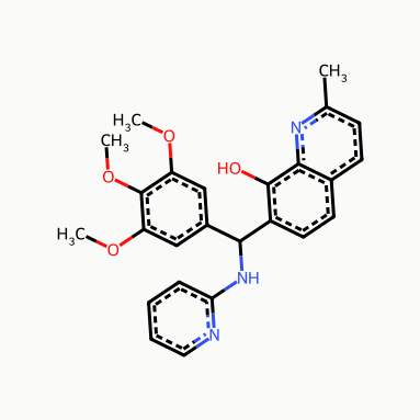 COc1cc(C(Nc2ccccn2)c2ccc3ccc(C)nc3c2O)cc(OC)c1OC